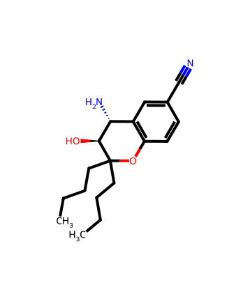 CCCCC1(CCCC)Oc2ccc(C#N)cc2[C@@H](N)[C@@H]1O